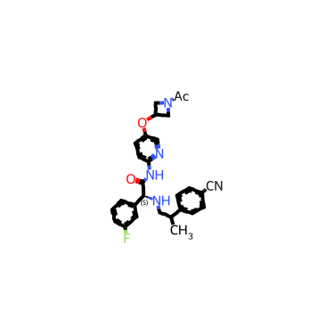 CC(=O)N1CC(Oc2ccc(NC(=O)[C@@H](NCC(C)c3ccc(C#N)cc3)c3cccc(F)c3)nc2)C1